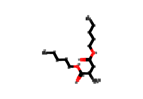 CCC(C)CCCCOC(=O)CC(C(=O)OCCCCC(C)CC)S(=O)(=O)O